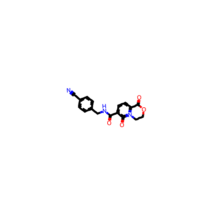 N#Cc1ccc(CNC(=O)c2ccc3n(c2=O)CCOC3=O)cc1